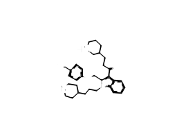 O=C(CCC1CCCNC1)c1c(COc2ccc(Cl)cc2)n(CCCC2CCNCC2)c2ccccc12